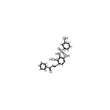 O=C(C=Cc1ccc(O)c(NS(=O)(=O)c2cccc(O)c2)c1O)c1ccccc1